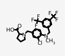 CN(Cc1cc(C(F)(F)F)cc(C(F)(F)F)c1)c1ccc(CN2CCCC2C(=O)O)cc1Cl